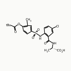 Cc1cc(S(=O)(=O)Nc2ccc(Cl)cc2C(=O)N[C@@H](C)C(=O)O)ccc1OC(=O)C(C)(C)C